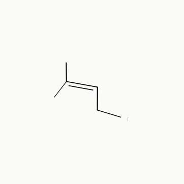 CC(C)=CC[Si]